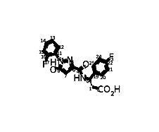 O=C(O)C[C@H](NC(=O)c1cc(O)n(-c2ccccc2F)n1)c1ccc(F)cc1